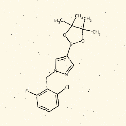 CC1(C)OB(c2cnn(Cc3c(F)cccc3Cl)c2)OC1(C)C